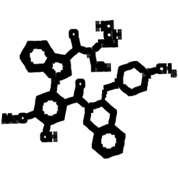 CCCCN(CCCC)C(=O)c1cn(-c2cc(OC)c(O)cc2C(=O)N2Cc3ccccc3C[C@H]2CN2CCN(C)CC2)c2ccccc12.Cl.Cl